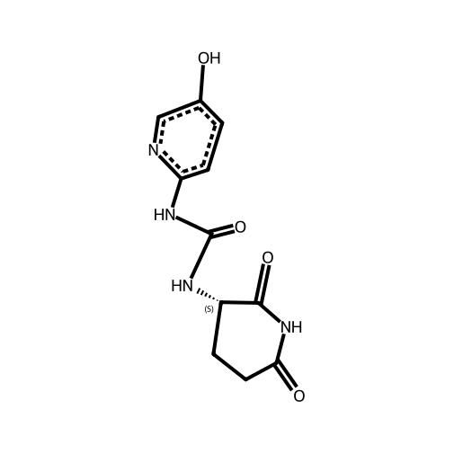 O=C1CC[C@H](NC(=O)Nc2ccc(O)cn2)C(=O)N1